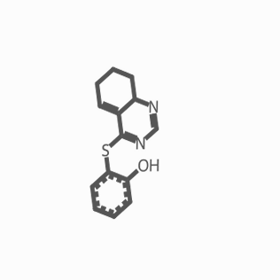 Oc1ccccc1SC1=NC=NC2CCCC=C12